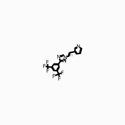 FC(F)(F)c1cc(-c2ncn(/C=C/c3cccnc3)n2)cc(C(F)(F)F)c1